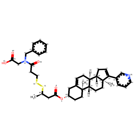 C[C@H](CC(=O)O[C@H]1CC[C@@]2(C)C(=CC[C@@H]3[C@@H]2CC[C@]2(C)C(c4cccnc4)=CC[C@@H]32)C1)SSCCC(=O)N(CC(=O)O)Cc1ccccc1